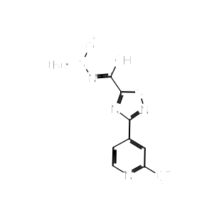 CC(=N[S@@+]([O-])C(C)(C)C)c1nc(-c2ccnc(C(F)(F)F)c2)ns1